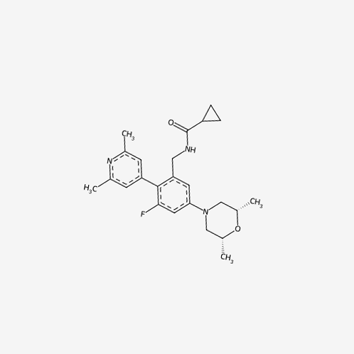 Cc1cc(-c2c(F)cc(N3C[C@@H](C)O[C@@H](C)C3)cc2CNC(=O)C2CC2)cc(C)n1